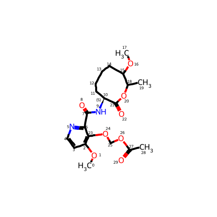 COc1ccnc(C(=O)N[C@H]2CCCCC(OC)C(C)OC2=O)c1OCOC(C)=O